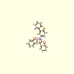 c1ccc2c(c1)oc1c2c2c3ccccc3oc2n1-c1ccc2sc3ccccc3c2c1